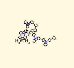 CC1(C)c2ccc(-n3c4ccccc4c4cc(-c5ccc6c(c5)c5ccccc5n6-c5ccc(-c6ccccc6)cc5)ccc43)cc2-c2ccc(-c3cccc(-c4cccc(-n5c6ccccc6c6cc(-c7ccc8c(c7)c7ccccc7n8-c7cccc8c7-c7ccccc7C8(C)C)ccc65)c4)c3)cc21